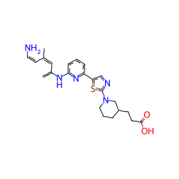 C=C(/C=C(C)\C=C/N)Nc1cccc(-c2cnc(N3CCCC(CCC(=O)O)C3)s2)n1